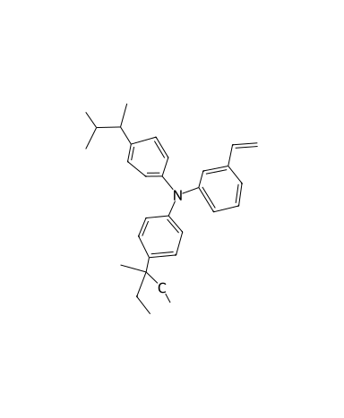 C=Cc1cccc(N(c2ccc(C(C)C(C)C)cc2)c2ccc(C(C)(CC)CC)cc2)c1